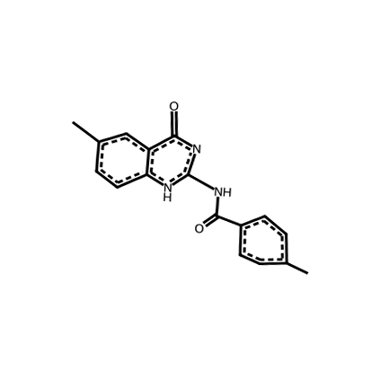 Cc1ccc(C(=O)Nc2nc(=O)c3cc(C)ccc3[nH]2)cc1